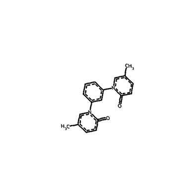 Cc1ccc(=O)n(-c2cccc(-n3cc(C)ccc3=O)c2)c1